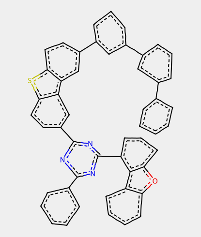 c1ccc(-c2cccc(-c3cccc(-c4ccc5sc6ccc(-c7nc(-c8ccccc8)nc(-c8cccc9oc%10ccccc%10c89)n7)cc6c5c4)c3)c2)cc1